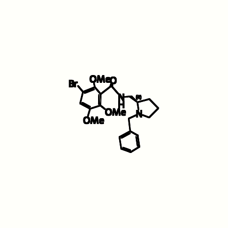 COc1cc(Br)c(OC)c(C(=O)NC[C@H]2CCCN2Cc2ccccc2)c1OC